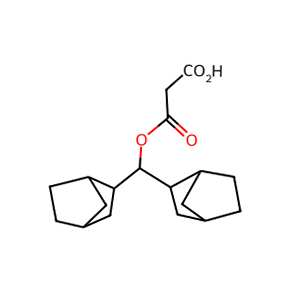 O=C(O)CC(=O)OC(C1CC2CCC1C2)C1CC2CCC1C2